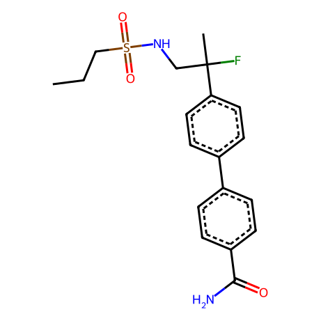 CCCS(=O)(=O)NCC(C)(F)c1ccc(-c2ccc(C(N)=O)cc2)cc1